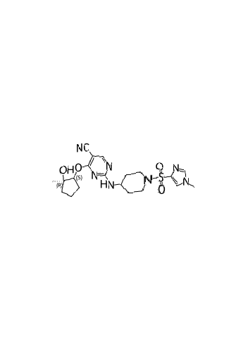 Cn1cnc(S(=O)(=O)N2CCC(Nc3ncc(C#N)c(O[C@H]4CCC[C@@]4(C)O)n3)CC2)c1